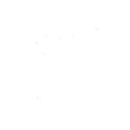 COc1ccc(OCC(=O)Nc2nonc2/C=N/ONc2ccc(F)c(Br)c2)cc1